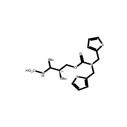 CCCC[C@H](COC(=O)N(Cc1cccs1)Cc1cccs1)C(NC(=O)O)C(C)(C)C